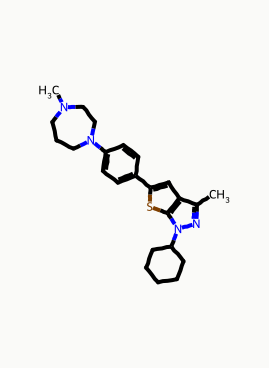 Cc1nn(C2CCCCC2)c2sc(-c3ccc(N4CCCN(C)CC4)cc3)cc12